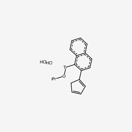 CC(C)[O][Ti][c]1c(C2=CC=CC2)ccc2ccccc12.Cl.Cl